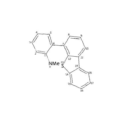 CNc1ccccc1-c1cccc2c1sc1ccccc12